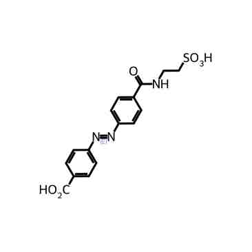 O=C(O)c1ccc(/N=N/c2ccc(C(=O)NCCS(=O)(=O)O)cc2)cc1